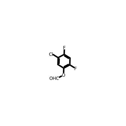 O=COc1cc(Cl)c(F)cc1F